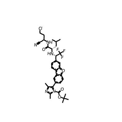 Cc1nc(C)n(C(=O)OC(C)(C)C)c1-c1ccc2oc3cc([C@H](N[C@@H](CC(C)C)C(=O)NC(C#N)CCCl)C(F)(F)F)ccc3c2c1